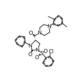 Cc1ccc(C)c(N2CCN(C(=O)[C@@H]3CN(S(=O)(=O)c4ccccc4Cl)C(=O)N3c3ccccc3)CC2)c1